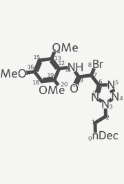 CCCCCCCCCCCCn1nnc(C(Br)C(=O)Nc2c(OC)cc(OC)cc2OC)n1